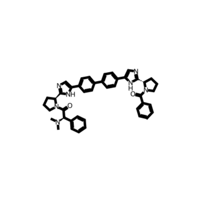 CN(C)[C@@H](C(=O)N1CCC[C@H]1c1ncc(-c2ccc(-c3ccc(-c4cnc([C@@H]5CCCN5C(=O)c5cc[c]cc5)[nH]4)cc3)cc2)[nH]1)c1ccccc1